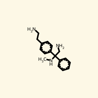 CNC(CN)(c1ccccc1)c1ccc(CCN)cc1